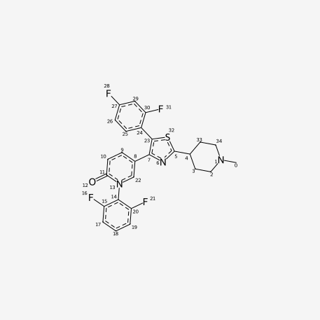 CN1CCC(c2nc(-c3ccc(=O)n(-c4c(F)cccc4F)c3)c(-c3ccc(F)cc3F)s2)CC1